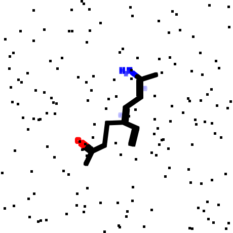 C=C/C(=C\C=C(\C)N)CCC(C)=O